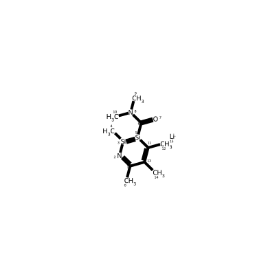 Cc1n[si](C)[si](C(=O)N(C)C)c(C)c1C.[Li]